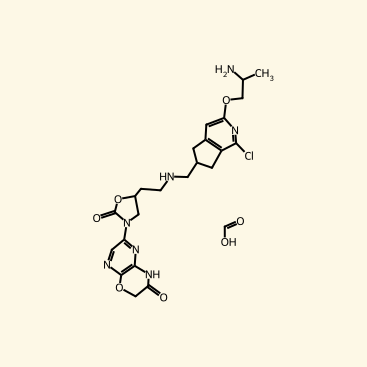 CC(N)COc1cc2c(c(Cl)n1)CC(CNCCC1CN(c3cnc4c(n3)NC(=O)CO4)C(=O)O1)C2.O=CO